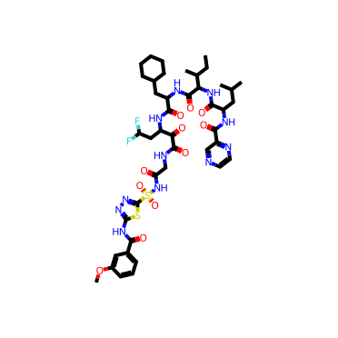 CCC(C)C(NC(=O)C(CC(C)C)NC(=O)c1cnccn1)C(=O)NC(CC1CCCCC1)C(=O)NC(CC(F)F)C(=O)C(=O)NCC(=O)NS(=O)(=O)c1nnc(NC(=O)c2cccc(OC)c2)s1